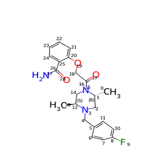 C[C@@H]1CN(Cc2ccc(F)cc2)[C@@H](C)CN1C(=O)COc1ccccc1C(N)=O